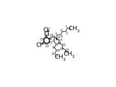 CCCCCC[N+](CCCCCC)(CCCCCC)Cc1ccc(Cl)cc1Cl.[Cl-]